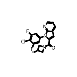 O=C(c1cc2cccnc2n1-c1cc(F)c(Cl)c(F)c1)N1CC(F)C1